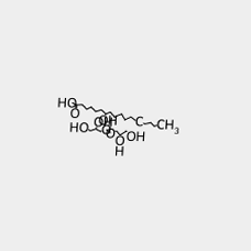 CCCCCCCCCCCC(O)CCCCCC(=O)O.OCC(O)COOCC(O)CO